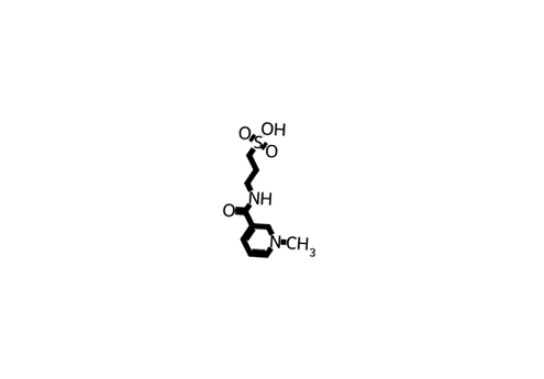 CN1C=CC=C(C(=O)NCCCS(=O)(=O)O)C1